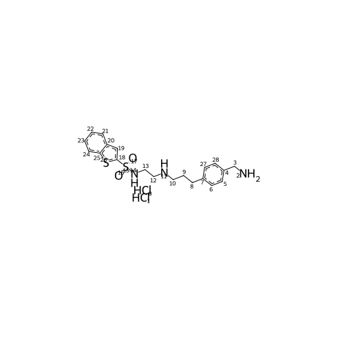 Cl.Cl.NCc1ccc(CCCNCCNS(=O)(=O)c2cc3ccccc3s2)cc1